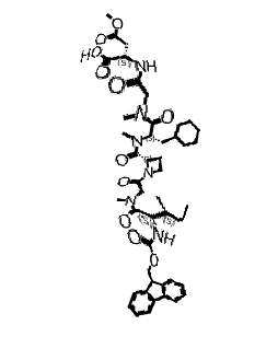 CC[C@H](C)[C@H](NC(=O)OCC1c2ccccc2-c2ccccc21)C(=O)N(C)CC(=O)N1CC[C@H]1C(=O)N(C)[C@@H](CC1CCCCC1)C(=O)N(C)CC(=O)N[C@@H](CC(=O)OC)C(=O)O